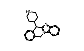 c1ccc2c(c1)Cn1c(nc3ccccc31)C2C1CCNCC1